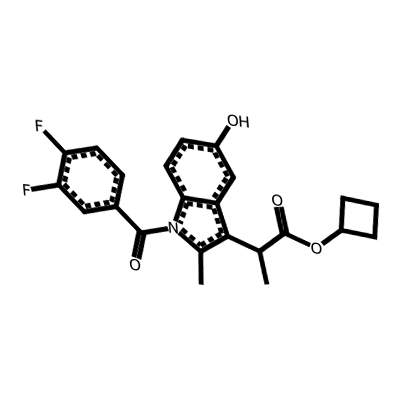 Cc1c(C(C)C(=O)OC2CCC2)c2cc(O)ccc2n1C(=O)c1ccc(F)c(F)c1